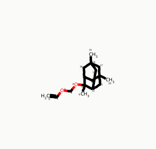 C=COCOC1(C)C2CC3(C)CC1CC(C)(C2)C3